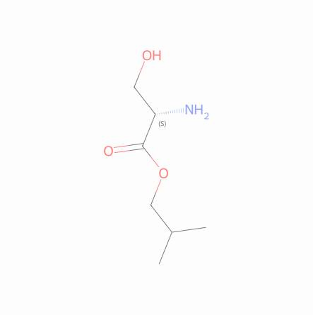 CC(C)COC(=O)[C@@H](N)CO